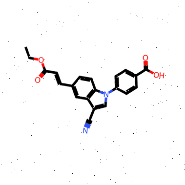 CCOC(=O)/C=C/c1ccc2c(c1)c(C#N)cn2-c1ccc(C(=O)O)cc1